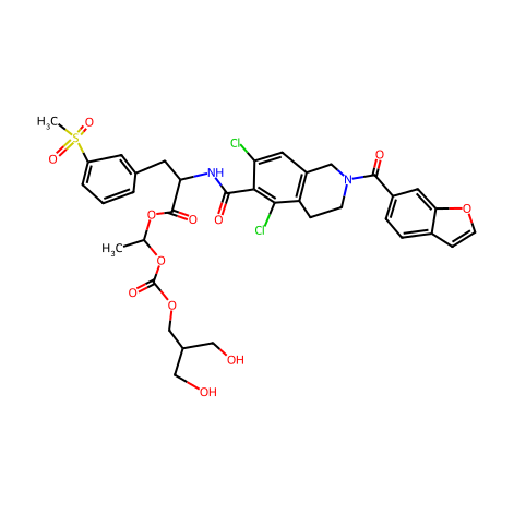 CC(OC(=O)OCC(CO)CO)OC(=O)C(Cc1cccc(S(C)(=O)=O)c1)NC(=O)c1c(Cl)cc2c(c1Cl)CCN(C(=O)c1ccc3ccoc3c1)C2